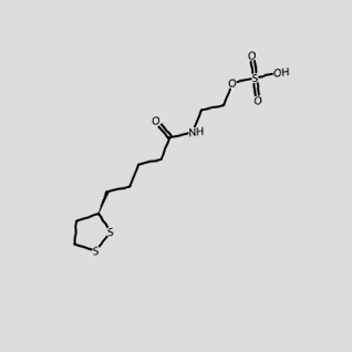 O=C(CCCC[C@@H]1CCSS1)NCCOS(=O)(=O)O